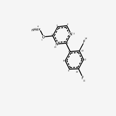 CCCCCCOc1ccnc(-c2ccc(F)cc2F)n1